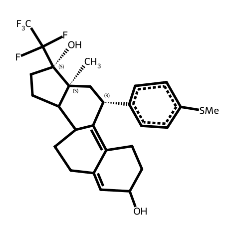 CSc1ccc([C@H]2C[C@@]3(C)C(CC[C@@]3(O)C(F)(F)C(F)(F)F)C3CCC4=CC(O)CCC4=C32)cc1